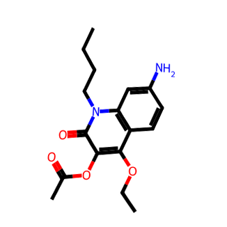 CCCCn1c(=O)c(OC(C)=O)c(OCC)c2ccc(N)cc21